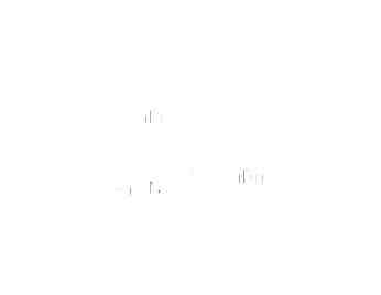 CCC/C(C)=C\C(=C(\C)C(C)CC)C(C)N(C)CC